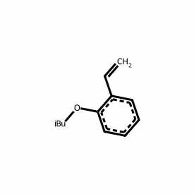 C=Cc1ccccc1OC(C)CC